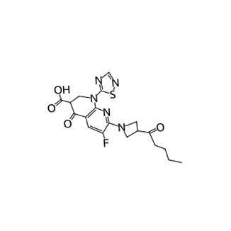 CCCCC(=O)C1CN(c2nc3c(cc2F)C(=O)C(C(=O)O)CN3c2ncns2)C1